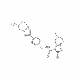 CCc1nc2ncc(C)cn2c1C(=O)NCc1ccc(-c2nc3n(n2)CCC(C(F)(F)F)C3)cn1